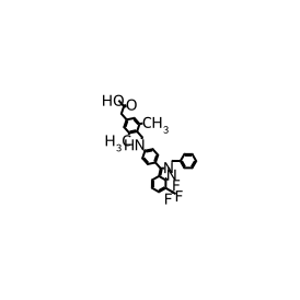 Cc1cc(CC(=O)O)cc(C)c1CNc1ccc(-c2c3cccc(C(F)(F)F)c3nn2Cc2ccccc2)cc1